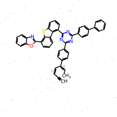 C#C/C=C\C(=C/C)c1ccc(-c2nc(-c3ccc(-c4ccccc4)cc3)nc(-c3cccc4sc5c(-c6nc7ccccc7o6)cccc5c34)n2)cc1